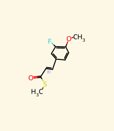 COc1ccc(/C=C/C(=O)SC)cc1F